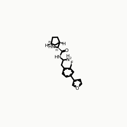 NC(Cc1ccc(-c2ccoc2)cc1F)NC(=O)[C@H]1N[C@@H]2CC[C@H]1C2